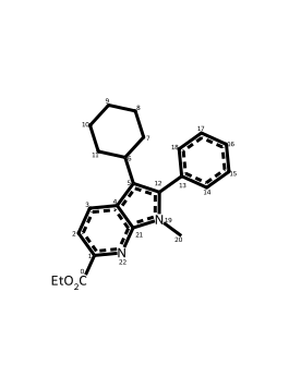 CCOC(=O)c1ccc2c(C3CCCCC3)c(-c3ccccc3)n(C)c2n1